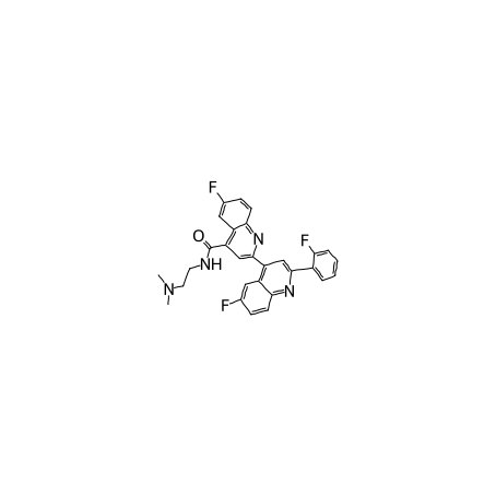 CN(C)CCNC(=O)c1cc(-c2cc(-c3ccccc3F)nc3ccc(F)cc23)nc2ccc(F)cc12